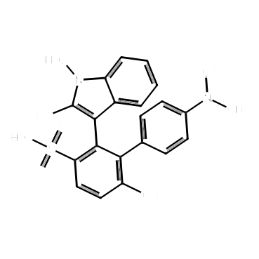 Cc1ccc(S(C)(=O)=O)c(-c2c(C)n(C)c3ccccc23)c1-c1ccc(N(C)C)cc1